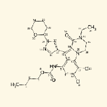 CCCCOC(=O)Nc1cc(Cl)c(Cl)c2c1c(-c1cnn(C3CCCCO3)c1)c1n2CCN(CC)C1=O